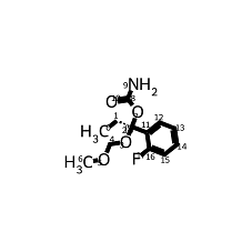 CC[C@](OCOC)(OC(N)=O)c1ccccc1F